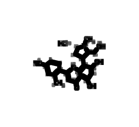 Cc1cc(C#N)ccc1-c1cc(=O)c2c(O)cc(O)c(C3CCN(C)C3CO)c2o1.Cl